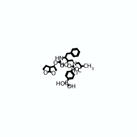 CC(C)CN(CC(O)C(Cc1ccccc1)NC(=O)O[C@H]1COC2OCCC21)S(=O)(=O)c1ccc(B(O)O)cc1